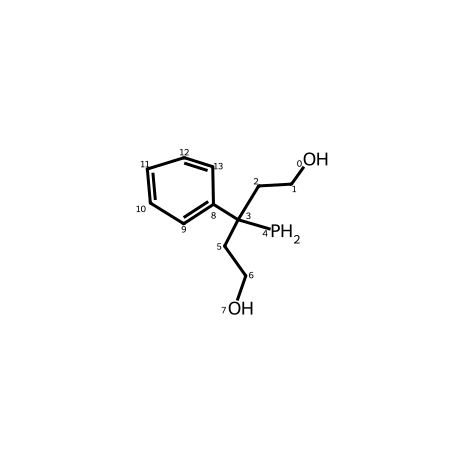 OCCC(P)(CCO)c1ccccc1